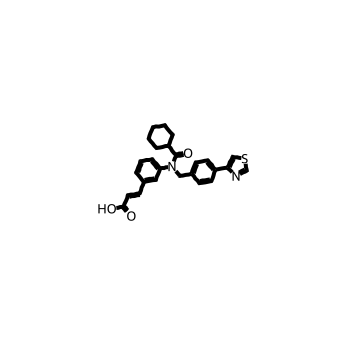 O=C(O)C=Cc1cccc(N(Cc2ccc(-c3cscn3)cc2)C(=O)C2CCCCC2)c1